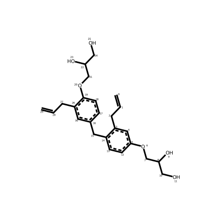 C=CCc1cc(OCC(O)CO)ccc1Cc1ccc(OCC(O)CO)c(CC=C)c1